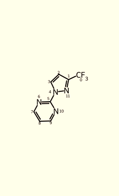 FC(F)(F)c1ccn(-c2ncccn2)n1